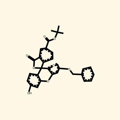 CC(C)(C)OC(=O)c1ccc2c(c1)C(=O)OC21c2ccc(O)cc2Oc2cc(OCc3ccccc3)ccc21